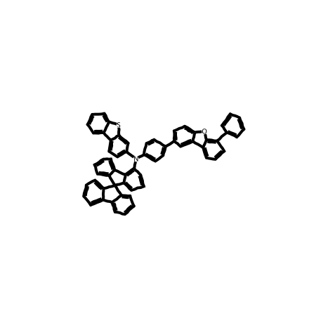 c1ccc(-c2cccc3c2oc2ccc(-c4ccc(N(c5ccc6c(c5)sc5ccccc56)c5cccc6c5-c5ccccc5C65c6ccccc6-c6ccccc65)cc4)cc23)cc1